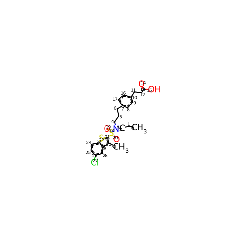 CCCN(CCCc1ccc(CCC(=O)O)cc1)S(=O)(=O)c1sc2ccc(Cl)cc2c1C